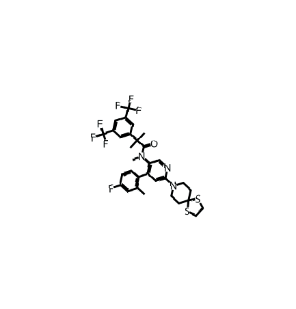 Cc1cc(F)ccc1-c1cc(N2CCC3(CC2)SCCS3)ncc1N(C)C(=O)C(C)(C)c1cc(C(F)(F)F)cc(C(F)(F)F)c1